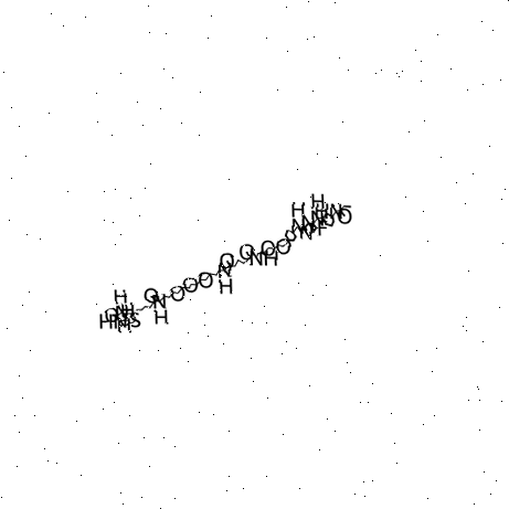 C=CC(=O)Nc1cccc(Nc2nc(Nc3ccc(OCCOCCNC(=O)CCCC(=O)NCCCOCCOCCOCCCNC(=O)CCCC[C@@H]4SC[C@@H]5NC(=O)N[C@@H]54)cc3)ncc2F)c1